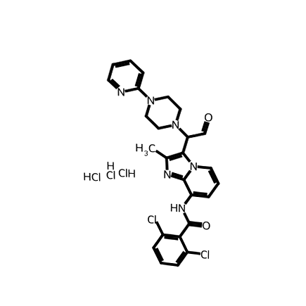 Cc1nc2c(NC(=O)c3c(Cl)cccc3Cl)cccn2c1C(C=O)N1CCN(c2ccccn2)CC1.Cl.Cl.Cl